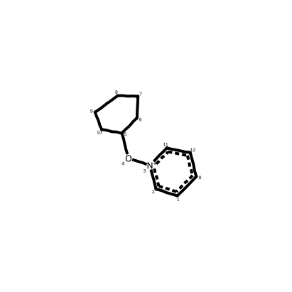 c1cc[n+](OC2CCCCC2)cc1